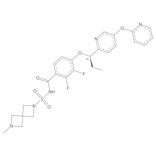 CC[C@@H](Oc1ccc(C(=O)NS(=O)(=O)N2CC3(CN(C)C3)C2)c(F)c1F)c1ccc(Oc2ccccn2)cn1